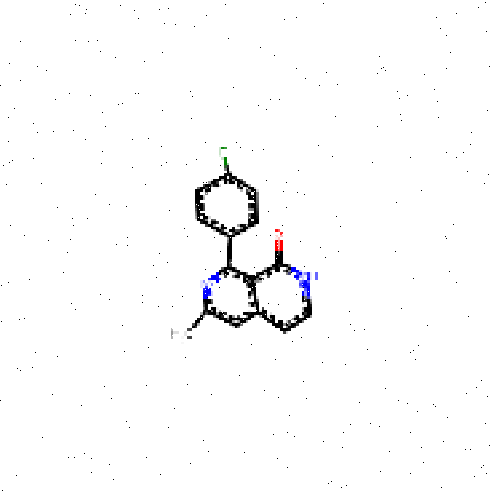 Cc1cc2cc[nH]c(=O)c2c(-c2ccc(F)cc2)n1